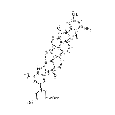 CCCCCCCCCCCCN(CCCCCCCCCCCC)c1cc([N+](=O)[O-])c2nc3c4ccc5c6ccc7c(=O)n8c9cc(C)cc(N)c9nc8c8ccc(c9ccc(c(=O)n3c2c1)c4c95)c6c78